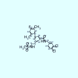 Cc1cc(-c2cc(CCNS(C)(=O)=O)cc(C(=O)NCc3ccc(Cl)c(Cl)c3)c2)c(C)cc1F